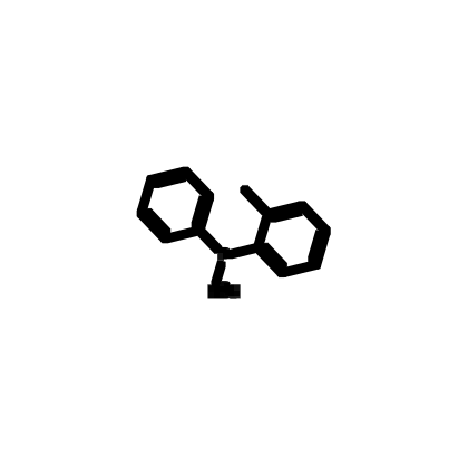 CCCCP(c1ccccc1)c1ccccc1C